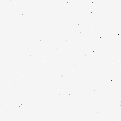 C1=C(c2ccc(N(c3ccc(-c4ccccc4)cc3)c3cccc4oc5ccccc5c34)cc2)CNc2c1oc1c2ccc2ccccc21